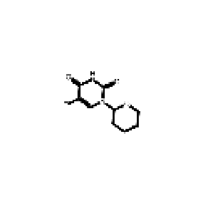 O=c1[nH]c(=O)n(C2CCCCO2)cc1F